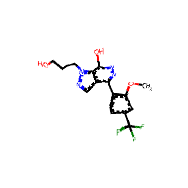 COc1cc(C(F)(F)F)ccc1-c1nnc(O)c2c1cnn2CCCO